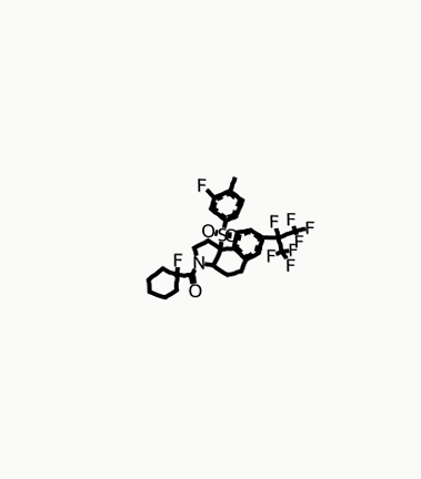 Cc1ccc(S(=O)(=O)C23CCN(C(=O)C4(F)CCCCC4)C2CCc2cc(C(F)(C(F)(F)F)C(F)(F)F)ccc23)cc1F